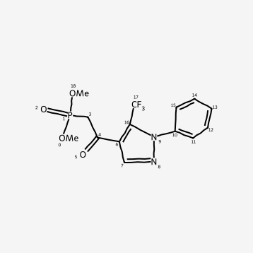 COP(=O)(CC(=O)c1cnn(-c2ccccc2)c1C(F)(F)F)OC